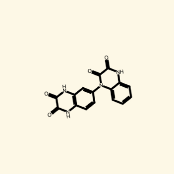 O=c1[nH]c2ccc(-n3c(=O)c(=O)[nH]c4ccccc43)cc2[nH]c1=O